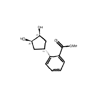 COC(=O)c1ccccc1[C@@H]1C[C@@H](O)[C@@H](O)C1